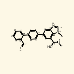 COC(O)c1cc(-c2ccc(-c3ccccc3C=O)cc2)cc2nnn(C)c12